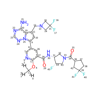 [2H]C([2H])([2H])Oc1ncc(-c2cc(CN3CC(F)(F)C3)c3c(N)ncnn23)cc1C(=O)N[C@@H]1CN(C(=O)C2CCC(F)(F)C2)C[C@@H]1F